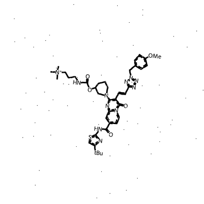 COc1ccc(Cn2nnc(C=Cc3c(N4CCCC(OC(=O)NCCC[N+](C)(C)C)C4)nc4cc(C(=O)Nc5nc(C(C)(C)C)cs5)ccn4c3=O)n2)cc1